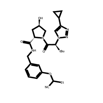 CCC(C#N)Oc1cccc(CNC(=O)[C@@H]2C[C@@H](O)CN2C(=O)[C@@H](n2cc(C3CC3)nn2)C(C)(C)C)c1